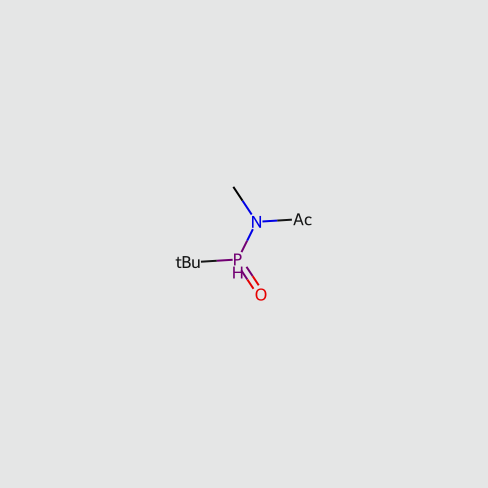 CC(=O)N(C)[PH](=O)C(C)(C)C